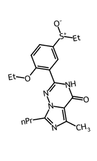 CCCc1nc(C)c2c(=O)[nH]c(-c3cc([S+]([O-])CC)ccc3OCC)nn12